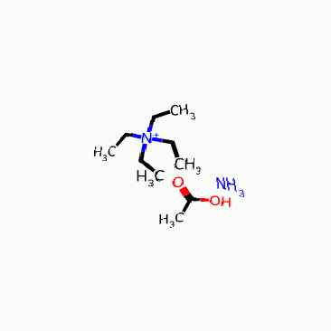 CC(=O)O.CC[N+](CC)(CC)CC.N